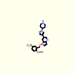 COc1ccc([N+](=O)[O-])cc1COn1ccc2ncc(-c3cnn(C4CCNCC4)c3)cc21